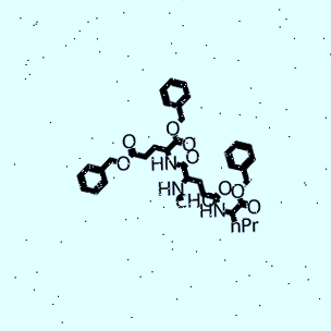 CCCC(NC(=O)CCC(NC=O)C(=O)NC(CCC(=O)OCc1ccccc1)C(=O)OCc1ccccc1)C(=O)OCc1ccccc1